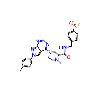 Cc1ccc(-n2cc3c(N4CCN(C)C(C(=O)NCc5ccc([S+](C)[O-])cc5)C4)ncnc3n2)cc1